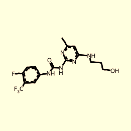 Cc1cc(NCCCO)nc(NC(=O)Nc2ccc(F)c(C(F)(F)F)c2)n1